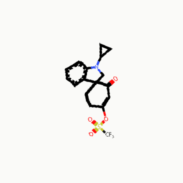 O=C1C=C(OS(=O)(=O)C(F)(F)F)CCC12CN(C1CC1)c1ccccc12